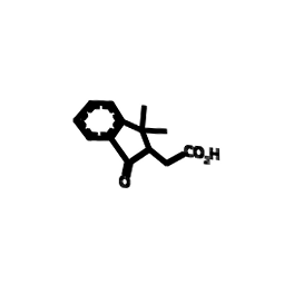 CC1(C)c2ccccc2C(=O)C1CC(=O)O